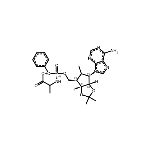 CC(N[P@](=O)(OC[C@H]1C(C)[C@@H](n2cnc3c(N)ncnc32)[C@@H]2OC(C)(C)O[C@@H]21)Oc1ccccc1)C(=O)O